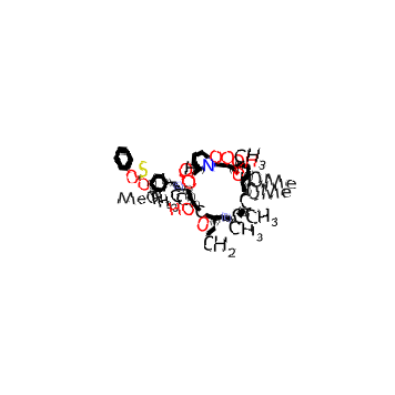 C=CC[C@@H]1/C=C(\C)C[C@H](C)C[C@H](OC)[C@H]2O[C@@](O)(C(=O)C(=O)N3CCCC[C@H]3C(=O)O[C@H](/C(C)=C/[C@@H]3CC[C@@H](OC(=S)Oc4ccccc4)[C@H](OC)C3)[C@H](C)[C@@H](O)CC1=O)[C@H](C)C[C@@H]2OC